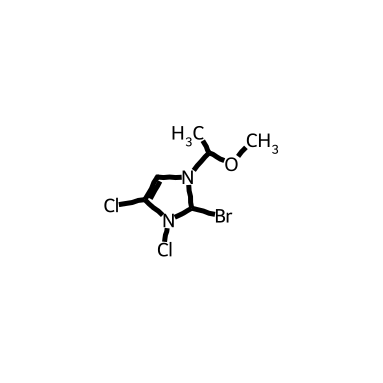 COC(C)N1C=C(Cl)N(Cl)C1Br